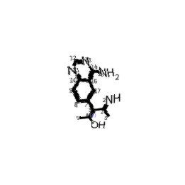 CC(=N)/C(=C(/C)O)c1ccc2ncnc(N)c2c1